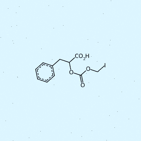 O=C(OCI)OC(Cc1ccccc1)C(=O)O